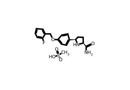 CS(=O)(=O)O.NC(=O)[C@@H]1CC[C@H](c2ccc(OCc3ccccc3F)cc2)N1